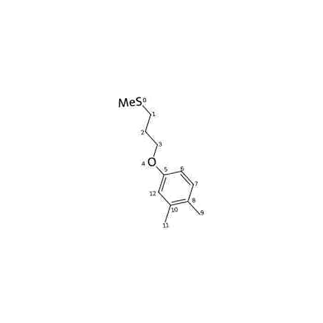 CSCCCOc1ccc(C)c(C)c1